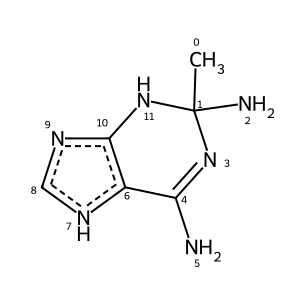 CC1(N)N=C(N)c2[nH]cnc2N1